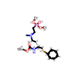 CCOP(=O)(CCN(C)CC[C@H](CSc1ccccc1)NC(=O)OC(C)(C)C)OCC